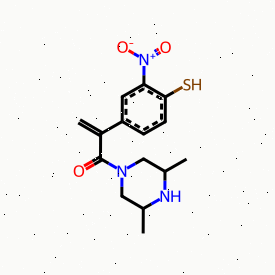 C=C(C(=O)N1CC(C)NC(C)C1)c1ccc(S)c([N+](=O)[O-])c1